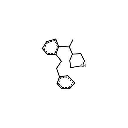 CC(c1ccccc1CCc1ccccc1)C1CCNCC1